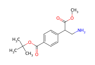 COC(=O)C(CN)c1ccc(C(=O)OC(C)(C)C)cc1